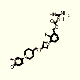 Cn1cc(N2CCC(COC3CN(c4cccc(COC(=O)NC(=N)N)c4F)C3)CC2)ccc1=O